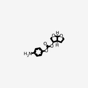 Nc1ccc(OC(=O)O[C@H]2CO[C@H]3OCC[C@H]32)cc1